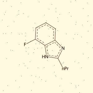 CCCc1nc2cccc(F)c2[nH]1